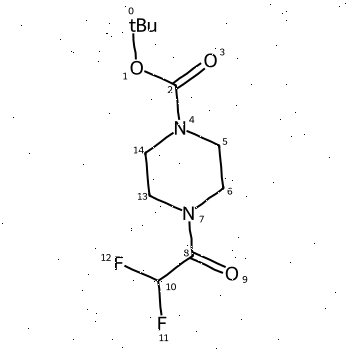 CC(C)(C)OC(=O)N1CCN(C(=O)C(F)F)CC1